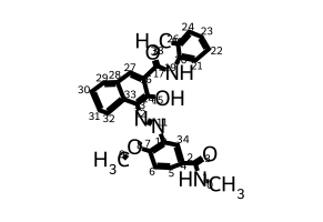 CNC(=O)c1ccc(OC)c(/N=N/c2c(O)c(C(=O)Nc3ccccc3C)cc3ccccc23)c1